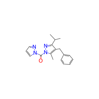 Cc1c(Cc2ccccc2)c(C(C)C)nn1C(=O)n1cccn1